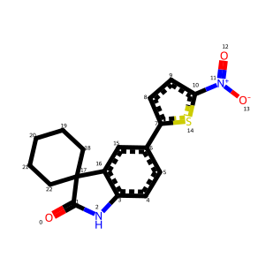 O=C1Nc2ccc(-c3ccc([N+](=O)[O-])s3)cc2C12CCCCC2